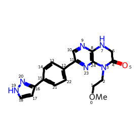 COCCN1C(=O)CNc2ncc(-c3ccc(-c4cc[nH]n4)cc3)nc21